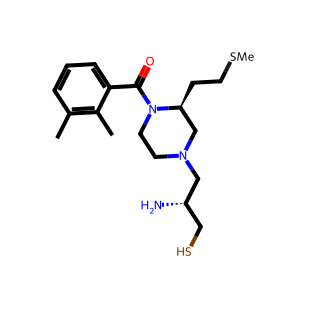 CSCC[C@H]1CN(C[C@@H](N)CS)CCN1C(=O)c1cccc(C)c1C